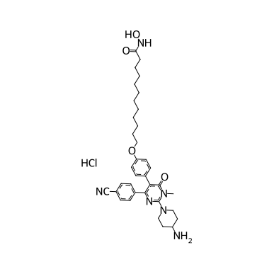 Cl.Cn1c(N2CCC(N)CC2)nc(-c2ccc(C#N)cc2)c(-c2ccc(OCCCCCCCCCCCC(=O)NO)cc2)c1=O